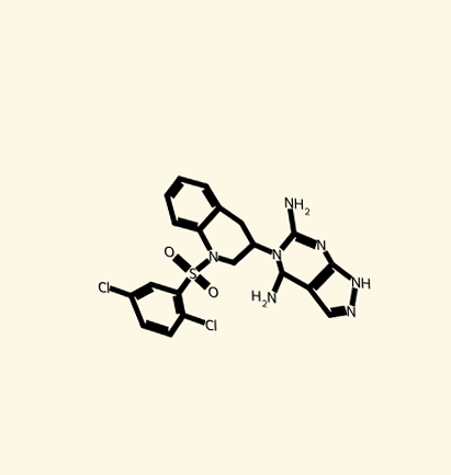 NC1=Nc2[nH]ncc2C(N)N1C1Cc2ccccc2N(S(=O)(=O)c2cc(Cl)ccc2Cl)C1